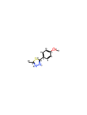 COc1ccc(-c2nnc(C)s2)cc1